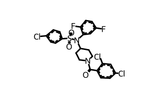 O=C(c1ccc(Cl)cc1Cl)N1CCC(N(c2cc(F)ccc2F)S(=O)(=O)c2ccc(Cl)cc2)CC1